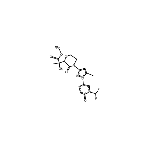 Cc1cc(N2CCOC(C(C)(O)C(=O)OC(C)(C)C)C2=O)nn1-c1ccc(=O)n(C(F)F)c1